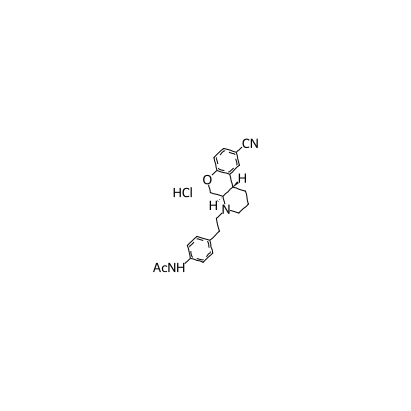 CC(=O)Nc1ccc(CCN2CCC[C@H]3c4cc(C#N)ccc4OC[C@@H]32)cc1.Cl